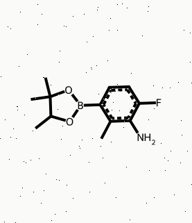 Cc1c(B2OC(C)C(C)(C)O2)ccc(F)c1N